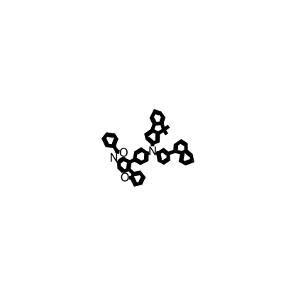 CC1(C)c2ccccc2-c2ccc(N(c3ccc(-c4c5oc(-c6ccccc6)nc5cc5oc6ccccc6c45)cc3)c3cccc(-c4cccc5ccccc45)c3)cc21